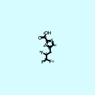 O=C(O)c1nc(CC(F)C(F)F)cs1